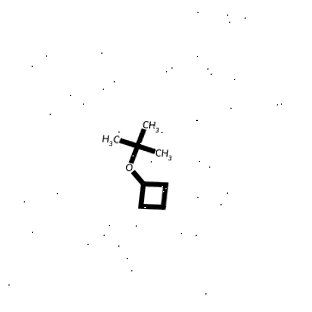 CC(C)(C)OC1CCC1